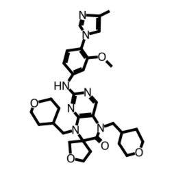 COc1cc(Nc2ncc3c(n2)N(CC2CCOCC2)C2(CCOC2)C(=O)N3CC2CCOCC2)ccc1-n1cnc(C)c1